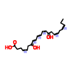 CC/C=C\C/C=C\C[C@H](O)\C=C/C=C/C=C/[C@@H](O)C/C=C\CCC(=O)O